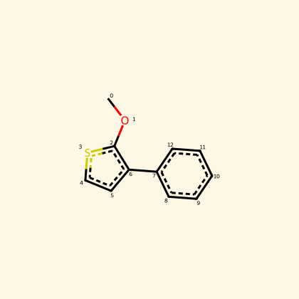 COc1sccc1-c1ccccc1